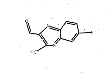 Cc1nc2cc(F)ccc2nc1C=O